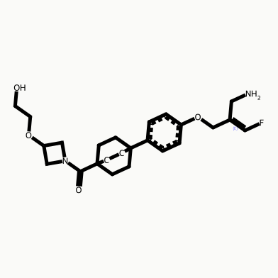 NC/C(=C\F)COc1ccc(C23CCC(C(=O)N4CC(OCCO)C4)(CC2)CC3)cc1